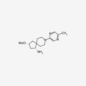 CO[C@H]1C[C@@H](N)C2(CCN(c3cnc(C)cn3)CC2)C1